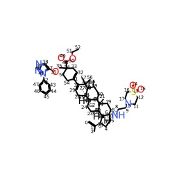 C=C(C)[C@@H]1CC[C@]2(NCCN3CCS(=O)(=O)CC3)CC[C@]3(C)[C@H](CC[C@@H]4[C@@]5(C)CC=C(C6=CCC(COc7cnnn7-c7ccccc7)(C(=O)OCC)CC6)C(C)(C)[C@@H]5CC[C@]43C)[C@@H]12